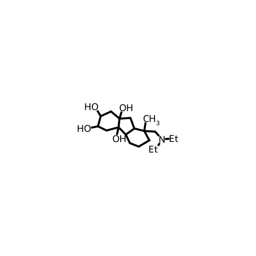 CCN(CC)CC1(C)CCCC2C1CC1(O)CC(O)C(O)CC21O